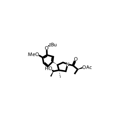 COc1ccc([C@@H]2CN(C(=O)[C@H](C)OC(C)=O)C[C@@]2(C)[C@@H](C)O)cc1OC(C)(C)C